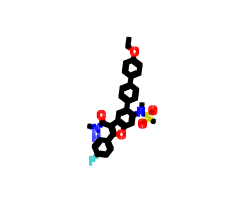 CCOc1ccc(-c2ccc(-c3cc4c(C(=O)NC)c(-c5ccc(F)cc5)oc4cc3N(C)S(C)(=O)=O)cc2)cc1